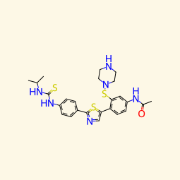 CC(=O)Nc1ccc(-c2cnc(-c3ccc(NC(=S)NC(C)C)cc3)s2)c(SN2CCNCC2)c1